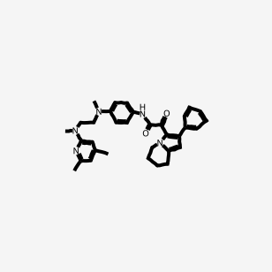 Cc1cc(C)nc(N(C)CCN(C)c2ccc(NC(=O)C(=O)c3c(-c4ccccc4)cc4n3CCCC4)cc2)c1